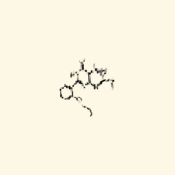 C=CCOc1ccccc1-c1nc2nc(SC)nnc2c(=O)[nH]1